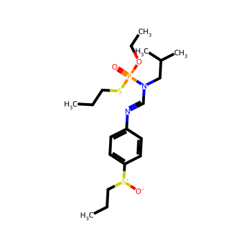 CCCSP(=O)(OCC)N(C=Nc1ccc([S+]([O-])CCC)cc1)CC(C)C